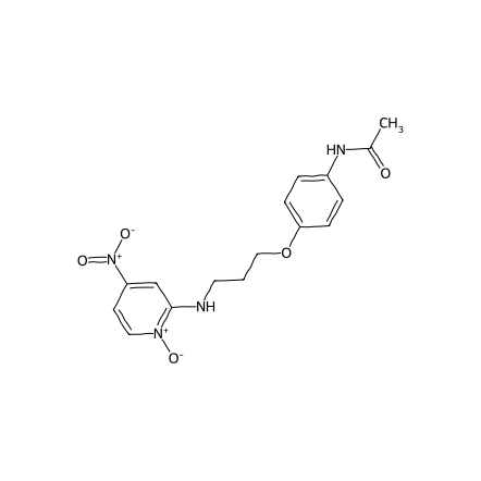 CC(=O)Nc1ccc(OCCCNc2cc([N+](=O)[O-])cc[n+]2[O-])cc1